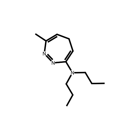 CCCN(CCC)C1=CCC=C(C)N=N1